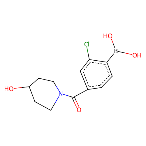 O=C(c1ccc(B(O)O)c(Cl)c1)N1CCC(O)CC1